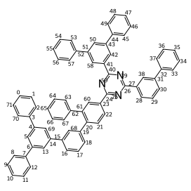 c1ccc(-c2cc(-c3ccccc3)cc(-c3cccc(-c4ccc(-c5nc(-c6cccc(-c7ccccc7)c6)nc(-c6cc(-c7ccccc7)cc(-c7ccccc7)c6)n5)cc4-c4ccccc4)c3)c2)cc1